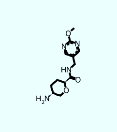 COc1ncc(CNC(=O)[C@@H]2CC[C@@H](N)CO2)cn1